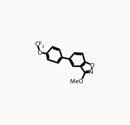 COc1noc2ccc(-c3ccc(OC(F)(F)F)cc3)cc12